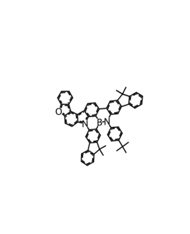 CC(C)(C)c1ccc(N2B3c4cc5c(cc4-n4c6ccc7oc8ccccc8c7c6c6ccc(c3c64)-c3cc4c(cc32)-c2ccccc2C4(C)C)-c2ccccc2C5(C)C)cc1